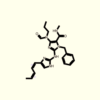 C/C=C\C=C/c1c[nH]c(Nc2nc(N(C=O)CCC)c(C(=O)NC)n2Cc2ccccc2)n1